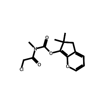 CN(C(=O)CCl)C(=O)OC1=C2OC=CC=C2CC1(C)C